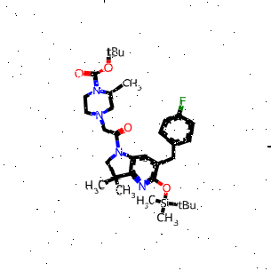 CC1CN(CC(=O)N2CC(C)(C)c3nc(O[Si](C)(C)C(C)(C)C)c(Cc4ccc(F)cc4)cc32)CCN1C(=O)OC(C)(C)C